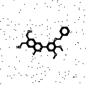 COc1cc(-c2cc3cc(CO)c(CO)cc3c(C)n2)cc(OCc2ccccc2)c1OC